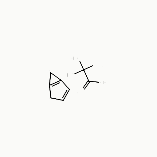 C1=CC2=C(C1)C2.CC(=O)C(C)(C)C